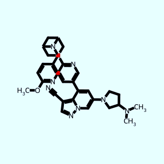 COc1ccc(CN2C3CC2CN(c2ccc(-c4cc(N5CCC(N(C)C)C5)cn5ncc(C#N)c45)cn2)C3)cn1